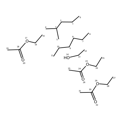 CCCC(C)C.CCCCCC.CCO.CCOC(C)=O.CCOC(C)=O.CCOC(C)=O